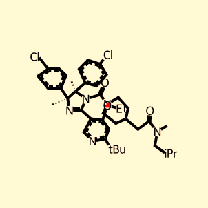 CCOc1cc(C(C)(C)C)ncc1C1=N[C@@](C)(c2ccc(Cl)cc2)[C@@](C)(c2ccc(Cl)cc2)N1C(=O)N1CCC(CC(=O)N(C)CC(C)C)CC1